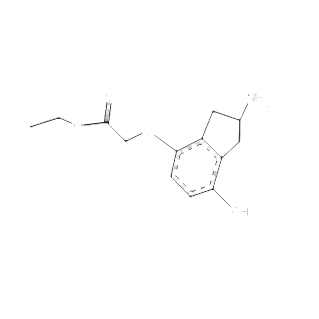 CCOC(=O)COc1ccc(O)c2c1CC(N)C2